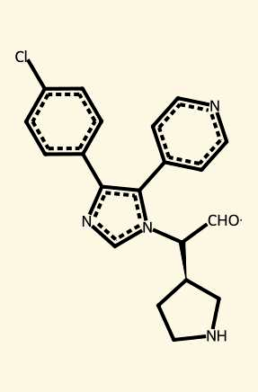 O=[C]C([C@@H]1CCNC1)n1cnc(-c2ccc(Cl)cc2)c1-c1ccncc1